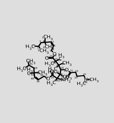 CC(C)CC(C)(C)/C=C\COC(=O)C(C)(C)C(C)(C)C(OC(=O)CCCN(C)C)C(C)(C)C(C)(N)C(=O)OC/C=C\C(C)(C)CC(C)C